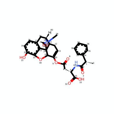 C[C@H](C(=O)N[C@@H](CC(=O)OC1=CC[C@@]2(O)[C@H]3Cc4ccc(O)c5c4C2(CCN3C)C1O5)C(=O)O)c1ccccc1